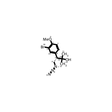 COc1ccc([C@@H](CN=[N+]=[N-])C(C)(C)O)cc1Br